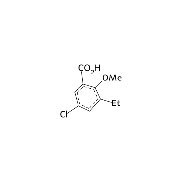 CCc1cc(Cl)cc(C(=O)O)c1OC